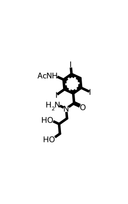 CC(=O)Nc1c(I)cc(I)c(C(=O)N(N)CC(O)CO)c1I